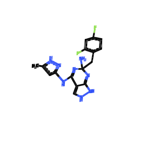 Cc1cc(NC2=NC(N)(Cc3ccc(F)cc3F)N=C3NNC=C32)n[nH]1